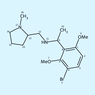 COc1ccc(Br)c(OC)c1C(C)NCC1CCCN1C